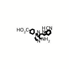 N#Cc1cccc2cc(-c3nc([C@H]4CC[C@H](C(=O)O)CC4)n4ccnc(N)c34)[nH]c12